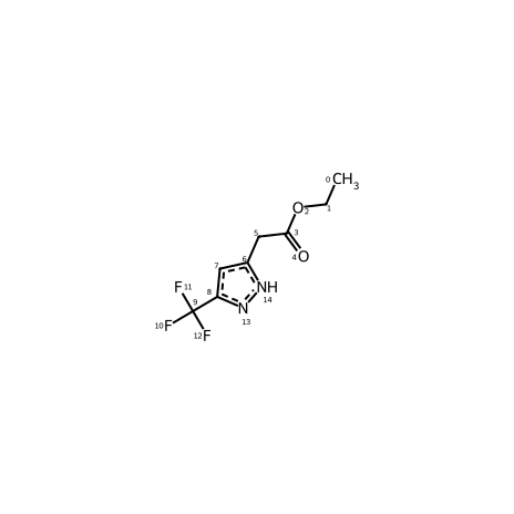 CCOC(=O)Cc1cc(C(F)(F)F)n[nH]1